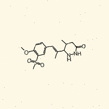 COc1ccc(/C=C(\C)C2NNC(=O)CC2C)cc1S(C)(=O)=O